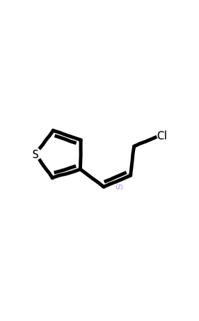 ClC/C=C\c1ccsc1